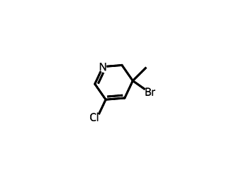 CC1(Br)C=C(Cl)C=NC1